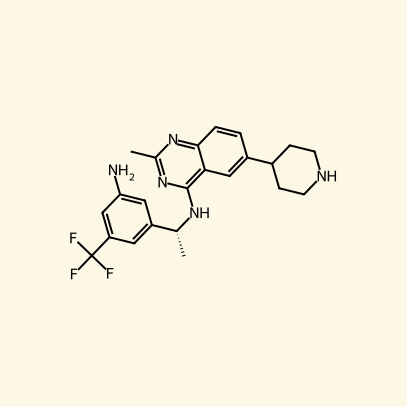 Cc1nc(N[C@H](C)c2cc(N)cc(C(F)(F)F)c2)c2cc(C3CCNCC3)ccc2n1